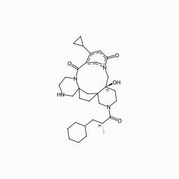 C[C@H](CC1CCCCC1)C(=O)N1CC[C@@]2(O)Cn3cc(c(C4CC4)cc3=O)C(=O)N3CCNCC34CCC2(C1)C4